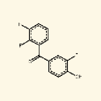 O=C(c1ccc(O)c(F)c1)c1cccc(F)c1F